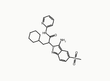 CS(=O)(=O)c1ccc2nn(C(CC3CCCCC3)C(=O)Nc3ccccn3)c(N)c2c1